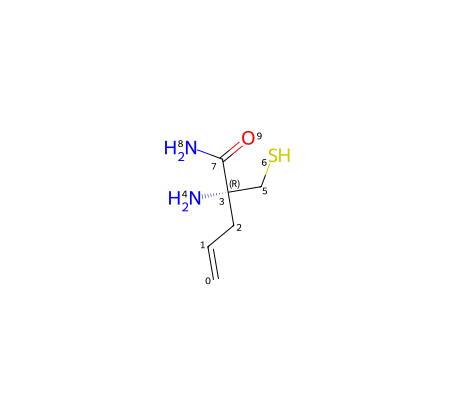 C=CC[C@](N)(CS)C(N)=O